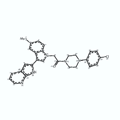 COc1ccc2c(c1)c(-c1cc3cccnc3[nH]1)cn2CC(=O)N1CCN(c2ccc(Cl)cc2)CC1